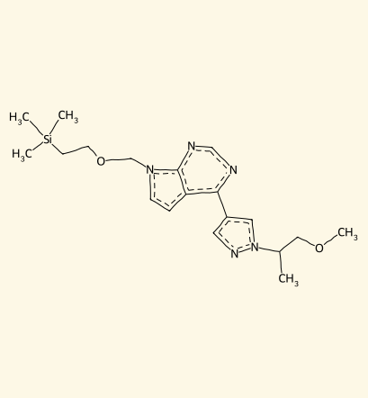 COCC(C)n1cc(-c2ncnc3c2ccn3COCC[Si](C)(C)C)cn1